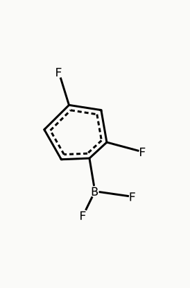 FB(F)c1ccc(F)cc1F